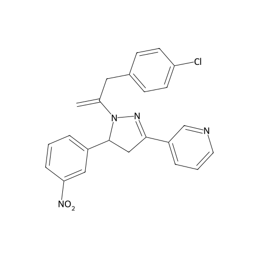 C=C(Cc1ccc(Cl)cc1)N1N=C(c2cccnc2)CC1c1cccc([N+](=O)[O-])c1